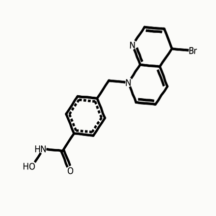 O=C(NO)c1ccc(CN2C=CC=C3C2=NC=CC3Br)cc1